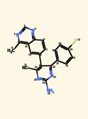 Cc1ncnc2ccc(-c3c(C#N)nc(N)nc3-c3ccc(F)cc3)cc12